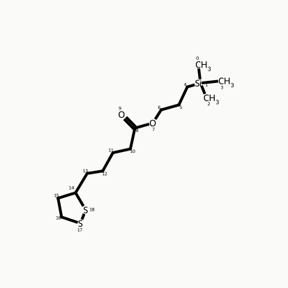 C[Si](C)(C)CCCOC(=O)CCCCC1CCSS1